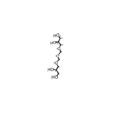 OCC(O)COCOCOCC(O)CO